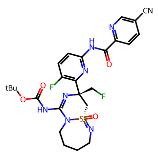 CC(C)(C)OC(=O)NC1=N[C@](CF)(c2nc(NC(=O)c3ccc(C#N)cn3)ccc2F)C[S@]2(=O)=NCCCCN12